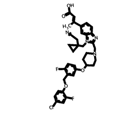 C/C(=C\C(=O)O)c1ccc2nc(CN3CCC(Oc4ccc(F)c(COc5ccc(Cl)cc5F)c4)CC3)n(CC3(CC#N)CC3)c2c1